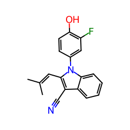 CC(C)=Cc1c(C#N)c2ccccc2n1-c1ccc(O)c(F)c1